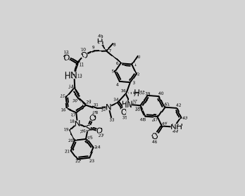 Cc1cc2ccc1[C@@H](C)COC(=O)Nc1ccc(N3Cc4ccccc4S3(=O)=O)c(c1)CN(C)C(=O)[C@@H]2Nc1ccc2cc[nH]c(=O)c2c1